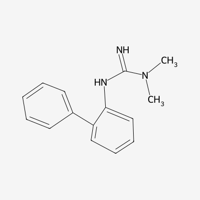 CN(C)C(=N)Nc1ccccc1-c1ccccc1